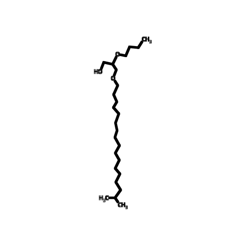 CCCCOC(CO)COCCCCCCCCCCCCCCCC(C)C